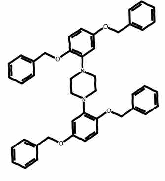 c1ccc(COc2ccc(OCc3ccccc3)c(N3CCN(c4cc(OCc5ccccc5)ccc4OCc4ccccc4)CC3)c2)cc1